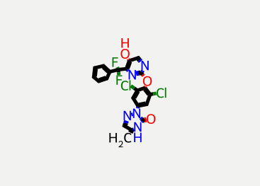 C=C1C=NN(c2cc(Cl)c(Oc3ncc(O)c(C(F)(F)c4ccccc4)n3)c(Cl)c2)C(=O)N1